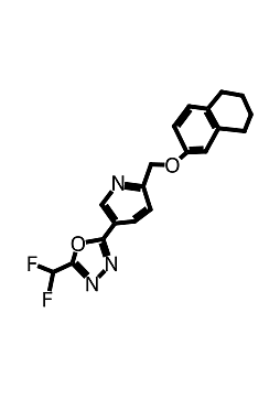 FC(F)c1nnc(-c2ccc(COc3ccc4c(c3)CCCC4)nc2)o1